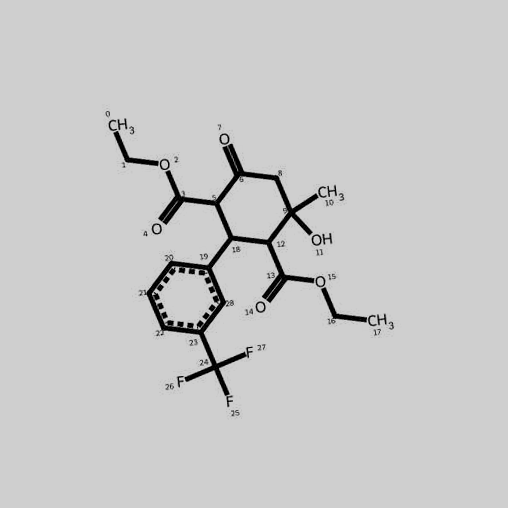 CCOC(=O)C1C(=O)CC(C)(O)C(C(=O)OCC)C1c1cccc(C(F)(F)F)c1